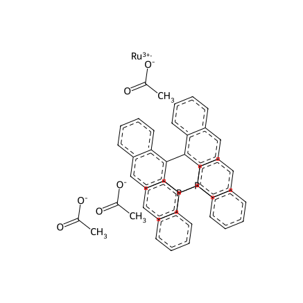 CC(=O)[O-].CC(=O)[O-].CC(=O)[O-].[Ru+3].c1ccc(P(c2ccccc2)c2ccc3ccccc3c2-c2c(P(c3ccccc3)c3ccccc3)ccc3ccccc23)cc1